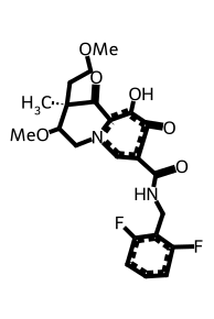 COCC[C@@]1(C)C(=O)c2c(O)c(=O)c(C(=O)NCc3c(F)cccc3F)cn2CC1OC